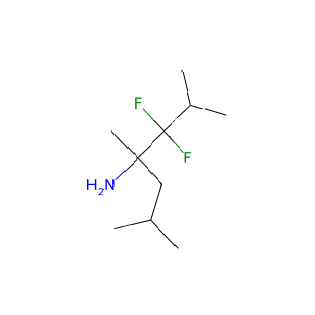 CC(C)CC(C)(N)C(F)(F)C(C)C